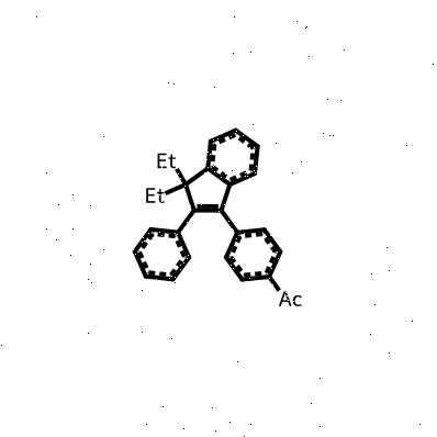 CCC1(CC)C(c2ccccc2)=C(c2ccc(C(C)=O)cc2)c2ccccc21